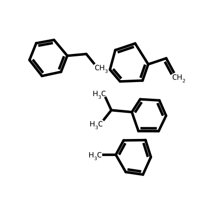 C=Cc1ccccc1.CC(C)c1ccccc1.CCc1ccccc1.Cc1ccccc1